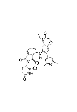 CCN1C(=O)COc2cc(-c3cc(C)nc(C)c3)c(Nc3cccc4c3C(=O)N(C3CCC(=O)NC3=O)C4=O)cc21